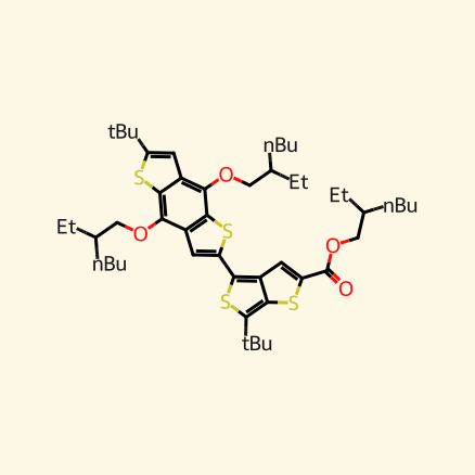 CCCCC(CC)COC(=O)c1cc2c(-c3cc4c(OCC(CC)CCCC)c5sc(C(C)(C)C)cc5c(OCC(CC)CCCC)c4s3)sc(C(C)(C)C)c2s1